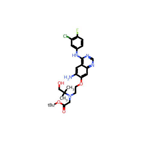 CC(C)(C)OC(=O)CN(CCOc1cc2ncnc(Nc3ccc(F)c(Cl)c3)c2cc1N)C(C)(C)CO